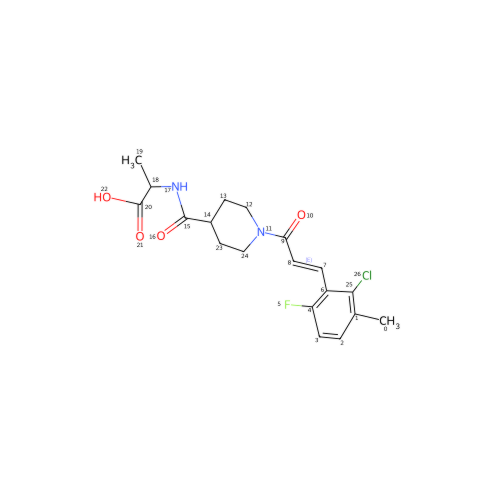 Cc1ccc(F)c(/C=C/C(=O)N2CCC(C(=O)NC(C)C(=O)O)CC2)c1Cl